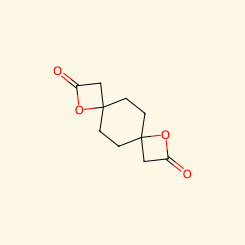 O=C1CC2(CCC3(CC2)CC(=O)O3)O1